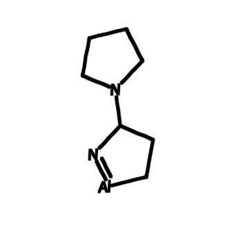 C1CCN(C2C[CH2][Al]=[N]2)C1